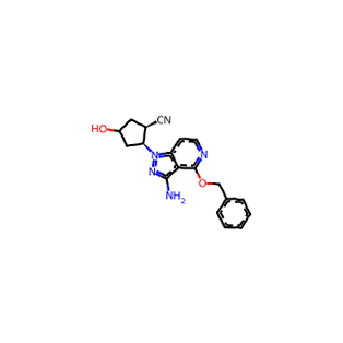 N#C[C@@H]1CC(O)C[C@@H]1n1nc(N)c2c(OCc3ccccc3)nccc21